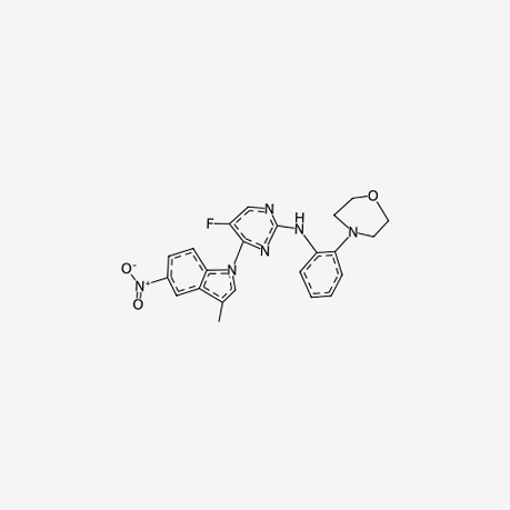 Cc1cn(-c2nc(Nc3ccccc3N3CCOCC3)ncc2F)c2ccc([N+](=O)[O-])cc12